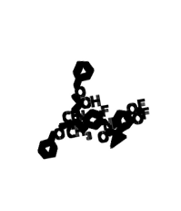 CC(C)(COCc1ccccc1)c1cc2cc(NC(=O)C3(c4ccc5c(c4)OC(F)(F)O5)CC3)c(F)cc2n1CC(O)COCc1ccccc1